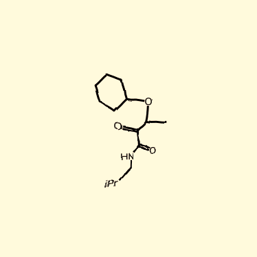 CC(C)CNC(=O)C(=O)C(C)OC1CCCCC1